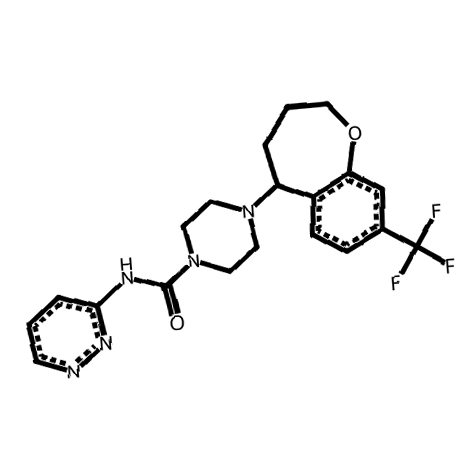 O=C(Nc1cccnn1)N1CCN(C2CCCOc3cc(C(F)(F)F)ccc32)CC1